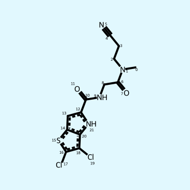 CN(CCC#N)C(=O)CNC(=O)c1cc2sc(Cl)c(Cl)c2[nH]1